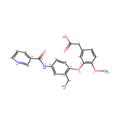 COc1ccc(CC(=O)O)cc1Oc1ccc(NC(=O)c2cccnc2)cc1CS